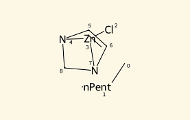 C[CH]CCCC.[Cl][Zn]1[N]2C=C[N]1C2